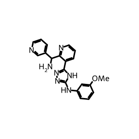 COc1cccc(Nc2nnc(-c3cccnc3C(N)c3cccnc3)[nH]2)c1